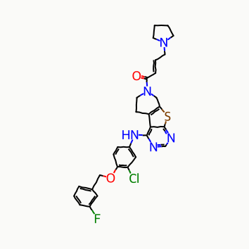 O=C(/C=C/CN1CCCC1)N1CCc2c(sc3ncnc(Nc4ccc(OCc5cccc(F)c5)c(Cl)c4)c23)C1